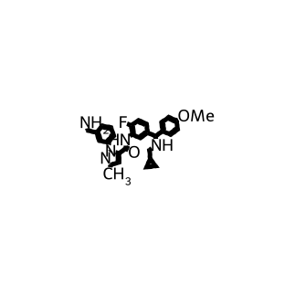 COc1ccc(C(NCC2CC2)c2ccc(F)c(NC(=O)c3cc(C)nn3-c3cccc(CN)c3)c2)cc1